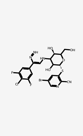 N#Cc1ncc(Br)cc1S[C@H]1OC(CO)[C@H](O)C(N/C=C(\N=N)c2cc(F)c(Cl)c(F)c2)C1O